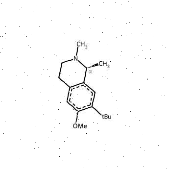 COc1cc2c(cc1C(C)(C)C)[C@H](C)N(C)CC2